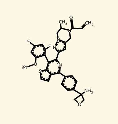 C=CC(=O)N1Cc2cc(-c3nc(-c4ccc(C5(N)COC5)cc4)c4ccsc4c3-c3c(F)cc(F)cc3OC(C)C)nn2CC1C